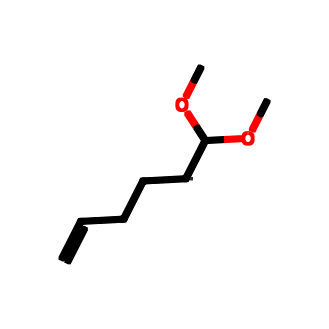 C=CCC[CH]C(OC)OC